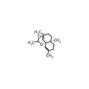 CC1=C[C@@]2(OC(C)C)CC(C)CC[C@@]2(C)CC1